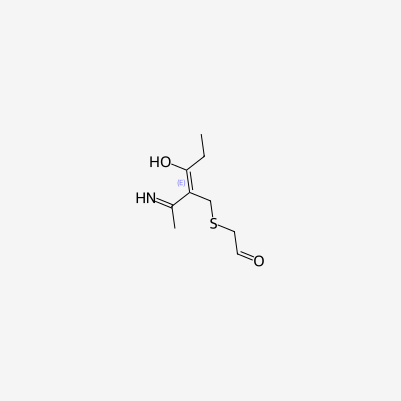 CC/C(O)=C(\CSCC=O)C(C)=N